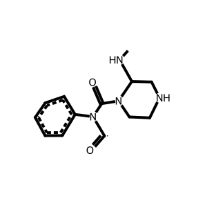 CNC1CNCCN1C(=O)N([C]=O)c1ccccc1